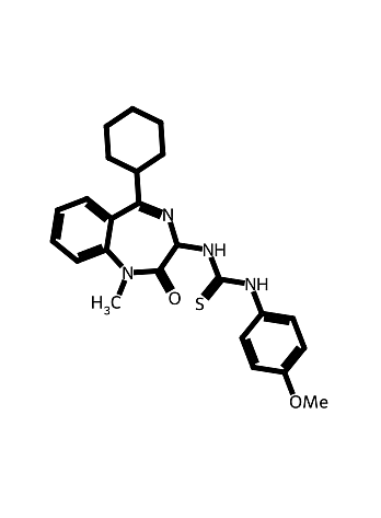 COc1ccc(NC(=S)NC2N=C(C3CCCCC3)c3ccccc3N(C)C2=O)cc1